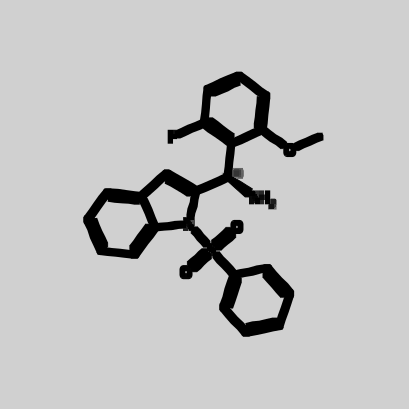 COc1cccc(F)c1[C@@H](N)c1cc2ccccc2n1S(=O)(=O)c1ccccc1